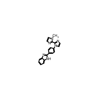 Cn1ccnc1-c1nccn1-c1ccc(-c2nc3ccccc3[nH]2)cc1